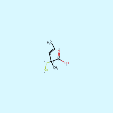 CC=CC(C)(SS)C(=O)O